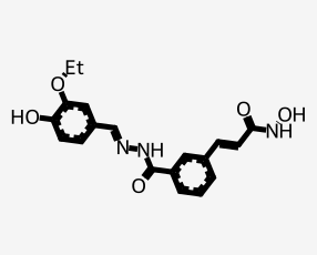 CCOc1cc(/C=N/NC(=O)c2cccc(/C=C/C(=O)NO)c2)ccc1O